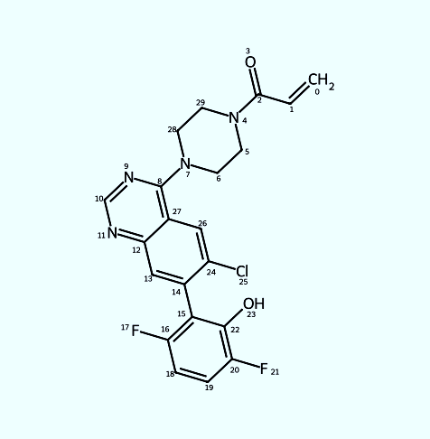 C=CC(=O)N1CCN(c2ncnc3cc(-c4c(F)ccc(F)c4O)c(Cl)cc23)CC1